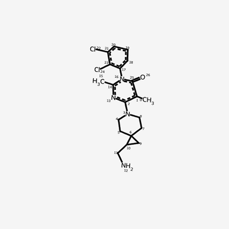 Cc1c(N2CCC3(CC2)CC3CN)nc(C)n(-c2cccc(Cl)c2Cl)c1=O